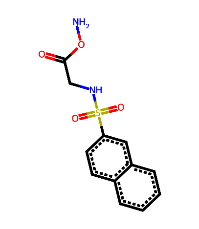 NOC(=O)CNS(=O)(=O)c1ccc2ccccc2c1